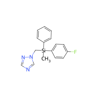 C[Si](Cn1cncn1)(c1ccccc1)c1ccc(F)cc1